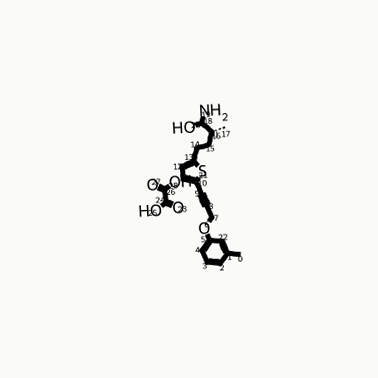 Cc1cccc(OCC#Cc2ccc(CC[C@@H](C)C(N)O)s2)c1.O=C(O)C(=O)O